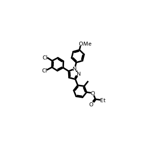 CCC(=O)Oc1cccc(-c2cc(-c3ccc(Cl)c(Cl)c3)n(-c3ccc(OC)cc3)n2)c1C